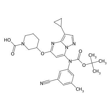 Cc1cc(C#N)cc(N(C(=O)OC(C)(C)C)c2cc(OC3CCCN(C(=O)O)C3)nc3c(C4CC4)cnn23)c1